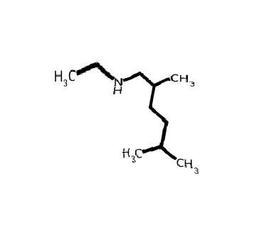 CCNCC(C)CCC(C)C